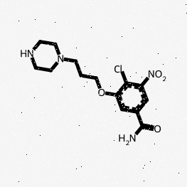 NC(=O)c1cc(OCCCN2CCNCC2)c(Cl)c([N+](=O)[O-])c1